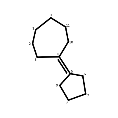 C1CCCC(=C2CCCC2)CC1